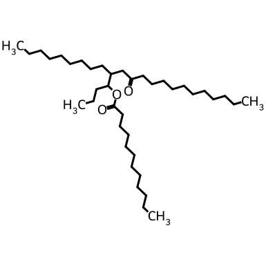 CCCCCCCCCCCC(=O)CC(CCCCCCCCC)C(CCC)OC(=O)CCCCCCCCCCC